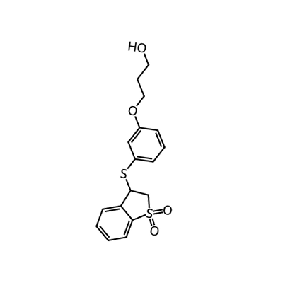 O=S1(=O)CC(Sc2cccc(OCCCO)c2)c2ccccc21